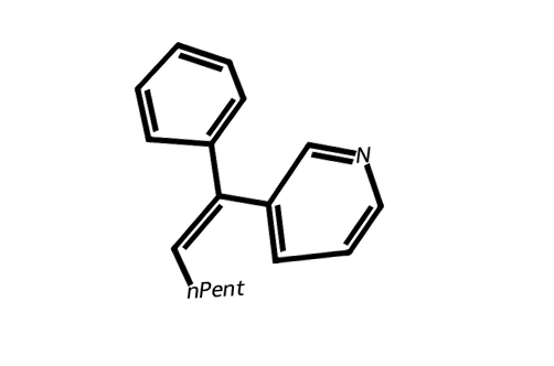 CCCCCC=C(c1ccccc1)c1cccnc1